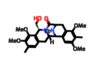 CCN1C2Cc3c(cc(OC)c(C)c3OC)C1[C@@H]1Cc3cc(C)c(OC)c(OC)c3[C@H](CO)N1C2=O